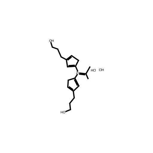 C[C](C)=[Zr]([C]1=CC(CCCO)=CC1)[C]1=CC(CCCO)=CC1.Cl.Cl